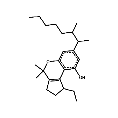 CCCCCC(C)C(C)c1cc(O)c2c(c1)OC(C)(C)C1=C2C(CC)CC1